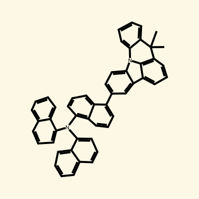 CC1(C)c2ccccc2-n2c3ccc(-c4cccc5c(N(c6cccc7ccccc67)c6cccc7ccccc67)cccc45)cc3c3cccc1c32